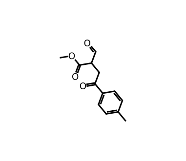 COC(=O)C(C=O)CC(=O)c1ccc(C)cc1